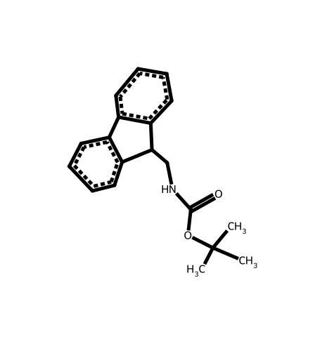 CC(C)(C)OC(=O)NCC1c2ccccc2-c2ccccc21